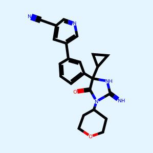 N#Cc1cncc(-c2cccc(C3(C4CC4)NC(=N)N(C4CCOCC4)C3=O)c2)c1